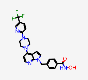 O=C(NO)c1ccc(Cn2ccc3c(N4CCN(c5ccc(C(F)(F)F)cn5)CC4)ccnc32)cc1